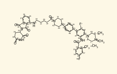 C[C@@H]1CN(c2cc(F)c(-c3cnc(N4CCN(C(=O)CCCCNc5cccc6c5C(=O)N(C5CCC(=O)NC5=O)C6=O)CC4)nc3)cc2NC(=O)c2ccc(F)cc2C(F)(F)F)C[C@H](C)N1C